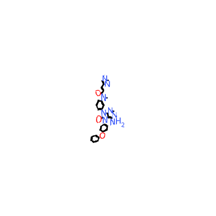 CN(C(=O)C=Cc1cn(C)cn1)c1cccc(-n2c(=O)n(-c3ccc(Oc4ccccc4)cc3)c3c(N)ncnc32)c1